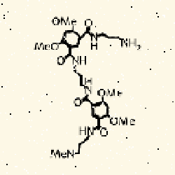 CNCCCNC(=O)c1cc(C(=O)NCCCNC(=O)c2cc(C(=O)NCCCN)c(OC)cc2OC)c(OC)cc1OC